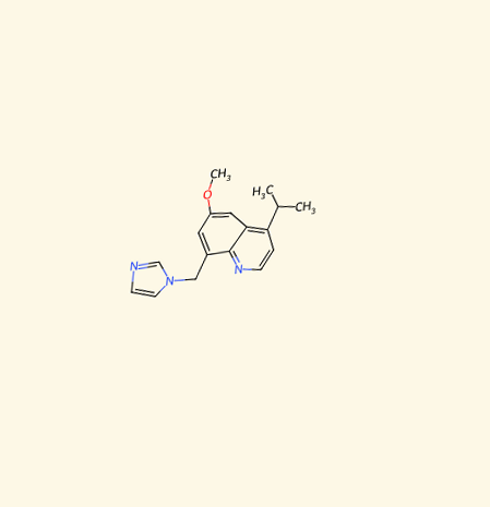 COc1cc(Cn2ccnc2)c2nccc(C(C)C)c2c1